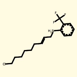 FC(F)(F)c1ccccc1[SiH2]CC=CCCCCCCCl